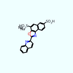 O=S(=O)(O)c1ccc2c(c1)cc(S(=O)(=O)O)c1oc(-c3ccc4ccccc4n3)nc12.[Na].[Na]